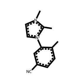 Cc1ccc(C#N)cc1-[n+]1ccn(C)c1C